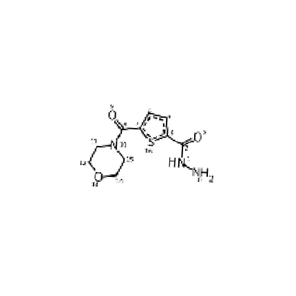 NNC(=O)c1ccc(C(=O)N2CCOCC2)s1